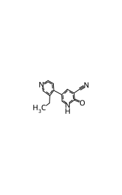 CCc1cnccc1-c1c[nH]c(=O)c(C#N)c1